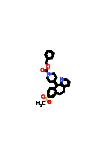 CS(=O)(=O)c1ccc2c(c1)CCc1cccnc1C2=C1CCN(C(=O)OCc2ccccc2)CC1